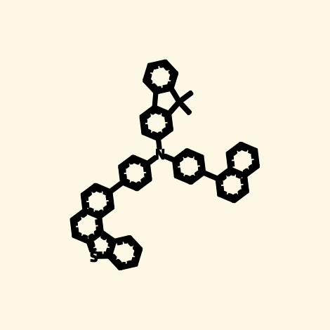 CC1(C)c2ccccc2-c2ccc(N(c3ccc(-c4ccc5ccc6sc7ccccc7c6c5c4)cc3)c3ccc(-c4cccc5ccccc45)cc3)cc21